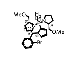 B[PH](C1=CC=C[C@H]1[C@H](O)c1ccccc1Br)(N1CCC[C@H]1COC)N1CCC[C@H]1COC